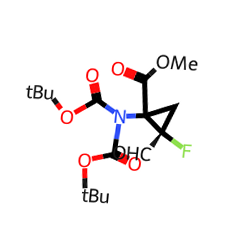 COC(=O)C1(N(C(=O)OC(C)(C)C)C(=O)OC(C)(C)C)C[C@@]1(F)C=O